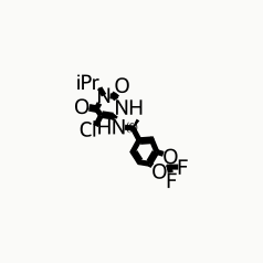 CC(C)n1c(=O)[nH]c(N[C@@H](C)c2ccc3c(c2)OC(F)(F)O3)c(Cl)c1=O